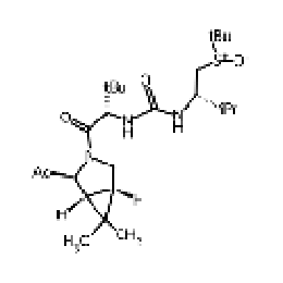 CC(=O)[C@@H]1[C@@H]2[C@H](CN1C(=O)[C@@H](NC(=O)N[C@H](C[S+]([O-])C(C)(C)C)C(C)C)C(C)(C)C)C2(C)C